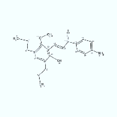 CCCc1cc(CCC)c(OC)c(C=CC(=O)c2ccc(N)cc2)c1O